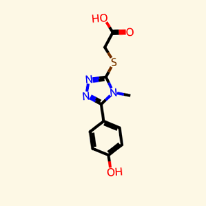 Cn1c(SCC(=O)O)nnc1-c1ccc(O)cc1